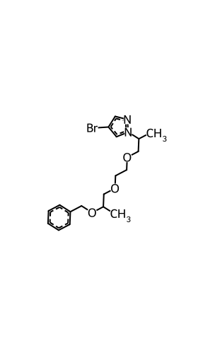 CC(COCCOCC(C)n1cc(Br)cn1)OCc1ccccc1